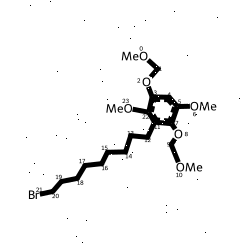 COCOc1cc(OC)c(OCOC)c(CCCCCCCCCBr)c1OC